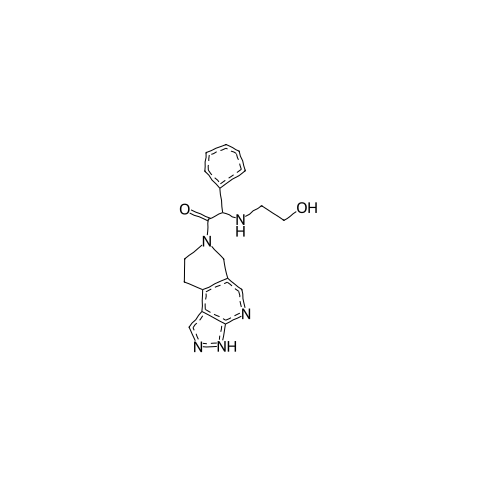 O=C(C(NCCO)c1ccccc1)N1CCc2c(cnc3[nH]ncc23)C1